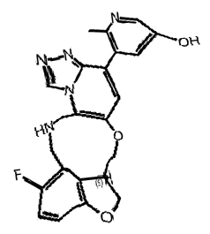 Cc1ncc(O)cc1-c1cc2c(n3cnnc13)NCc1c(F)ccc3c1[C@@H](CO3)CO2